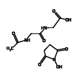 CC(=O)NCC(=O)NCC(=O)O.O=C1CCC(=O)N1O